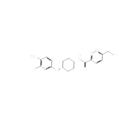 CC(C)Cc1ccc(C(=O)N[C@H]2CC[C@H](Oc3ccc(C#N)c(Cl)c3)CC2)nn1